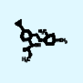 COC(=O)N(O)c1ccc(C2CC2)cc1COc1ccc(C)cc1C